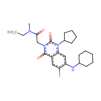 CCOC(=O)CN(C)C(=O)Cn1c(=O)c2cc(F)c(NC3CCCCC3)cc2n(C2CCCC2)c1=O